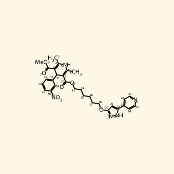 COC(=O)C1=C(C)NC(C)=C(C(=O)OCCCCCCOc2cc(-c3ccncc3)[nH]n2)C1c1cccc([N+](=O)[O-])c1